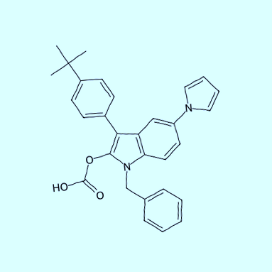 CC(C)(C)c1ccc(-c2c(OC(=O)O)n(Cc3ccccc3)c3ccc(-n4cccc4)cc23)cc1